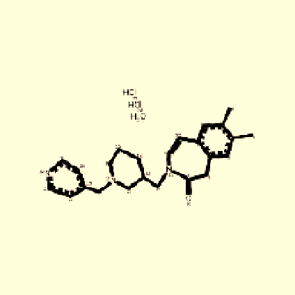 Cc1cc2c(cc1C)CC(=O)N(CC1CCCN(Cc3ccncc3)C1)C=C2.Cl.Cl.O